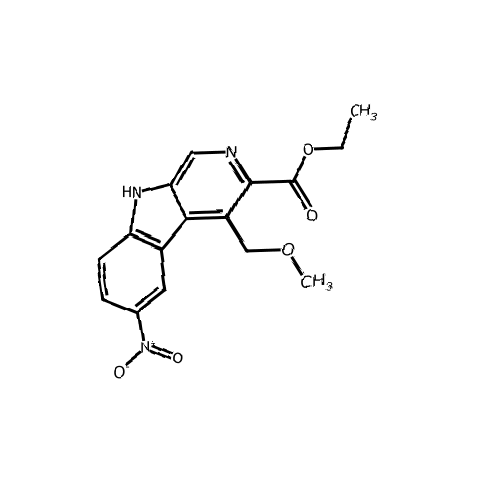 CCOC(=O)c1ncc2[nH]c3ccc([N+](=O)[O-])cc3c2c1COC